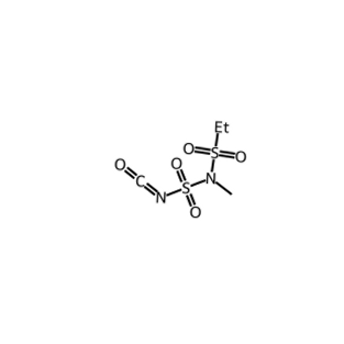 CCS(=O)(=O)N(C)S(=O)(=O)N=C=O